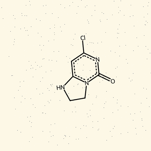 O=c1nc(Cl)cc2n1CCN2